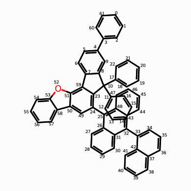 c1ccc(-c2ccc3c(c2)C(c2ccccc2)(c2ccccc2)c2c(-c4c5ccccc5c(-c5cccc6ccccc56)c5ccccc45)cc4c(oc5ccccc54)c2-3)cc1